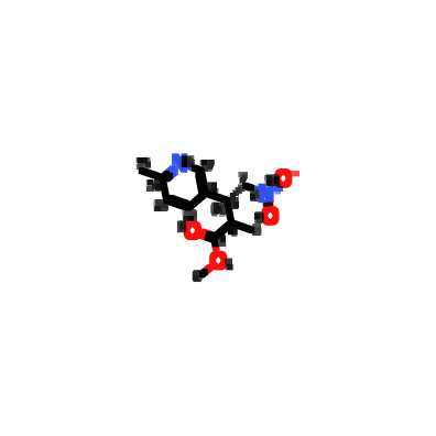 COC(=O)C(C)[C@@H](C[N+](=O)[O-])c1ccc(C)nc1